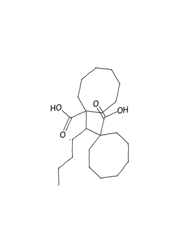 CCC[CH]C(C1(C(=O)O)CCCCCCC1)C1(C(=O)O)CCCCCCC1